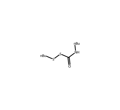 CCCCNC(=O)SSCCCC